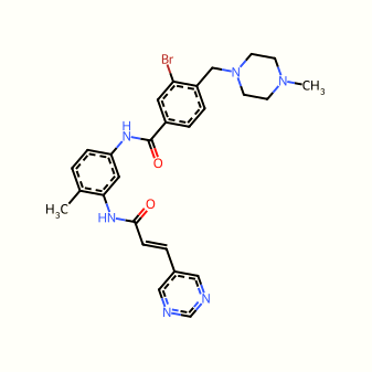 Cc1ccc(NC(=O)c2ccc(CN3CCN(C)CC3)c(Br)c2)cc1NC(=O)/C=C/c1cncnc1